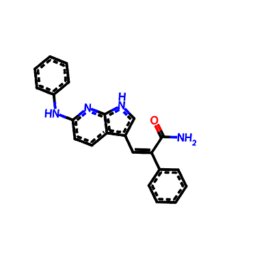 NC(=O)C(=Cc1c[nH]c2nc(Nc3ccccc3)ccc12)c1ccccc1